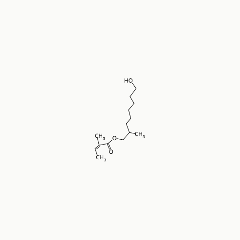 CC=C(C)C(=O)OCC(C)CCCCCCO